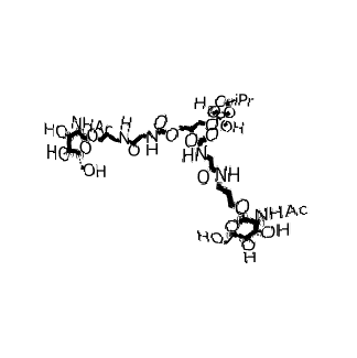 CC(=O)N[C@H]1[C@H](OCCCNC(=O)CNC(=O)OCC(COP(=O)(O)O[C@@H](C)C(C)C)OC(=O)NCC(=O)NCCCO[C@@H]2O[C@H](CO)[C@H](O)[C@H](O)[C@H]2NC(C)=O)O[C@H](CO)[C@H](O)[C@@H]1O